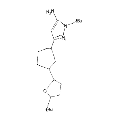 CC(C)(C)C1CCC(C2CCC(c3cc(N)n(C(C)(C)C)n3)C2)O1